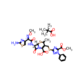 C=C1S[C@@H]2[C@H](NC(=O)/C(=N\OC)c3csc(N)n3)C(=O)N2C(C(=O)O)=C1CSc1nc(C(=O)OC)n(-c2ccccc2)n1.CC(C)(C)C(=O)O